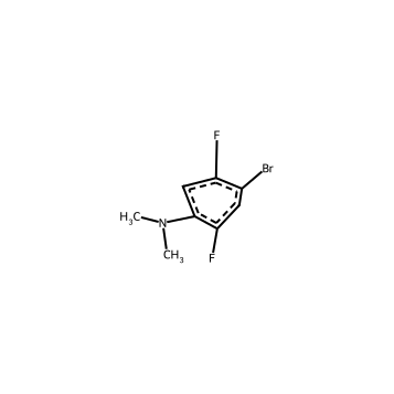 CN(C)c1cc(F)c(Br)cc1F